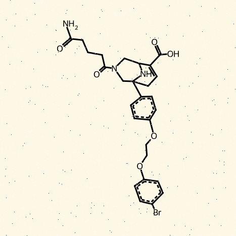 NC(=O)CCCC(=O)N1CC2NC(c3ccc(OCCOc4ccc(Br)cc4)cc3)(CC=C2C(=O)O)C1